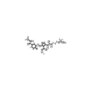 CC(C)(C)[Si](C)(C)OCCCNC(=O)Nc1snc(OCc2cc(C(=O)NC3CC3)ccc2F)c1C(N)=O